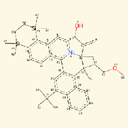 C=C(CO)C1(C)[n+]2ccc3c4c(ccc3c2-c2cc(C(C)(C)C)c3ccccc3c2C1(C)CCOC)[Si](C)(C)CC[Si]4(C)C